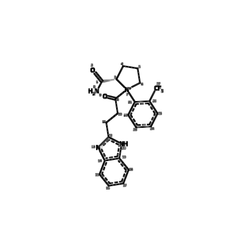 NC(=O)[C@@H]1CCC[N+]1(C(=O)CCc1nc2ccccc2[nH]1)c1ccccc1C(F)(F)F